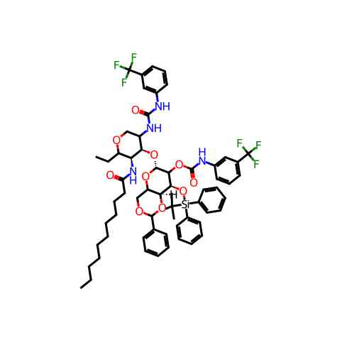 CCCCCCCCCCC(=O)N[C@H]1C(CC)OCC(NC(=O)Nc2cccc(C(F)(F)F)c2)[C@H]1O[C@H]1OC2COC(c3ccccc3)O[C@@H]2[C@H](O[Si](c2ccccc2)(c2ccccc2)C(C)(C)C)C1OC(=O)Nc1cccc(C(F)(F)F)c1